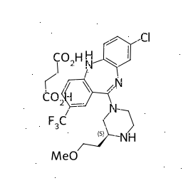 COCC[C@H]1CN(C2=Nc3cc(Cl)ccc3Nc3ccc(C(F)(F)F)cc32)CCN1.O=C(O)CCC(=O)O